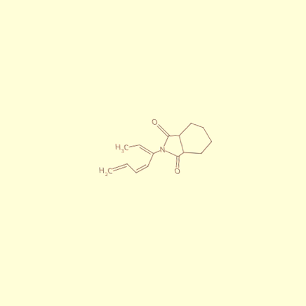 C=C/C=C\C(=C/C)N1C(=O)C2CCCCC2C1=O